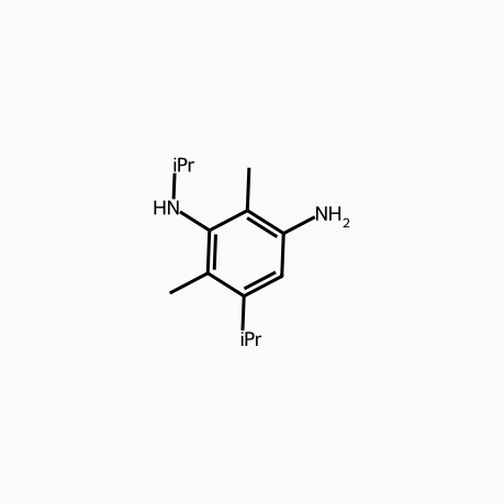 Cc1c(N)cc(C(C)C)c(C)c1NC(C)C